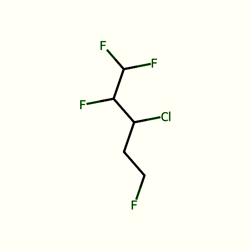 FCCC(Cl)C(F)C(F)F